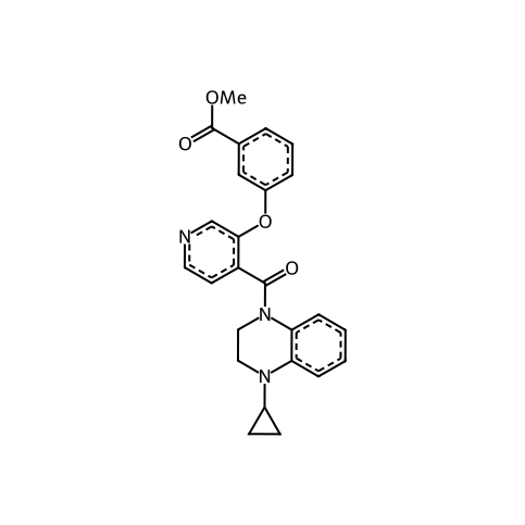 COC(=O)c1cccc(Oc2cnccc2C(=O)N2CCN(C3CC3)c3ccccc32)c1